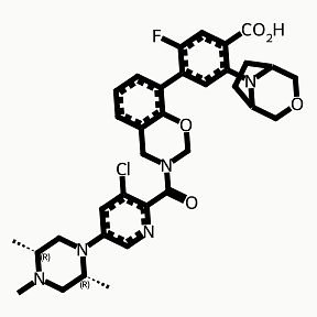 C[C@@H]1CN(c2cnc(C(=O)N3COc4c(cccc4-c4cc(N5C6CCC5COC6)c(C(=O)O)cc4F)C3)c(Cl)c2)[C@H](C)CN1C